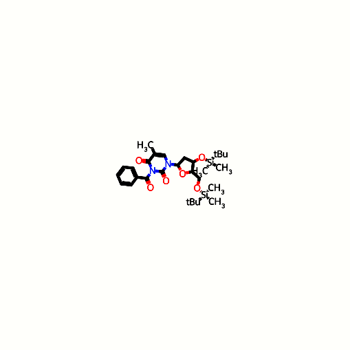 Cc1cn(C2CC(O[Si](C)(C)C(C)(C)C)C(CO[Si](C)(C)C(C)(C)C)O2)c(=O)n(C(=O)c2ccccc2)c1=O